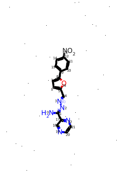 N/C(=N\N=C\c1ccc(-c2ccc([N+](=O)[O-])cc2)o1)c1cnccn1